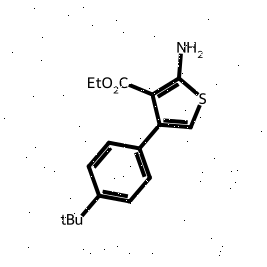 CCOC(=O)c1c(-c2ccc(C(C)(C)C)cc2)csc1N